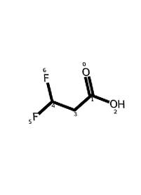 O=C(O)CC(F)F